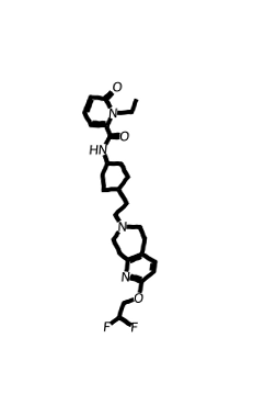 CCn1c(C(=O)NC2CCC(CCN3CCc4ccc(OCC(F)F)nc4CC3)CC2)cccc1=O